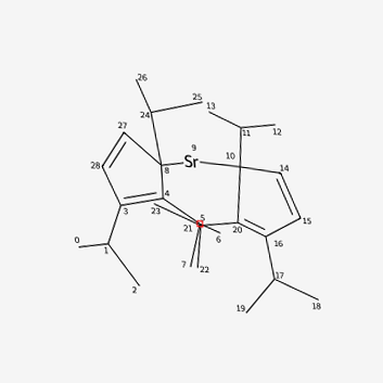 CC(C)C1=C(C(C)C)[C]([Sr][C]2(C(C)C)C=CC(C(C)C)=C2C(C)C)(C(C)C)C=C1